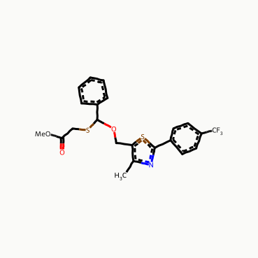 COC(=O)CSC(OCc1sc(-c2ccc(C(F)(F)F)cc2)nc1C)c1ccccc1